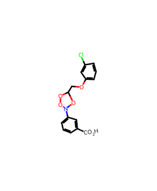 O=C(O)c1cccc(N2OOC(COc3cccc(Cl)c3)O2)c1